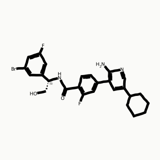 Nc1ncc(C2CCCCC2)cc1-c1ccc(C(=O)N[C@H](CO)c2cc(F)cc(Br)c2)c(F)c1